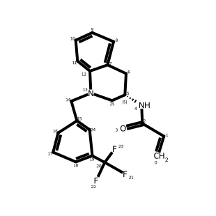 C=CC(=O)N[C@H]1Cc2ccccc2N(Cc2cccc(C(F)(F)F)c2)C1